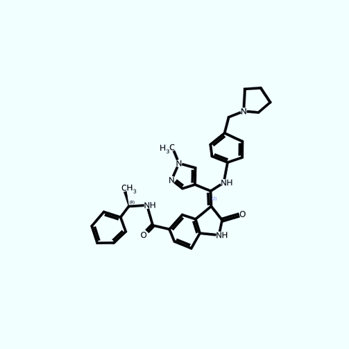 C[C@@H](NC(=O)c1ccc2c(c1)/C(=C(/Nc1ccc(CN3CCCC3)cc1)c1cnn(C)c1)C(=O)N2)c1ccccc1